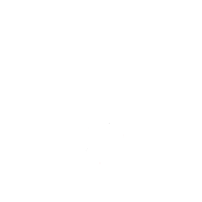 CCCCC(C)(C)C(=O)OC(C)=O